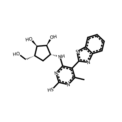 Cc1nc(S)nc(N[C@@H]2C[C@H](CO)[C@@H](O)[C@H]2O)c1-c1nc2ccccc2s1